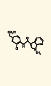 CCOC(=O)Cc1ccc(NC(=O)c2cn(C)c3ccccc23)c(Cl)c1